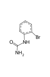 NC(=O)Nc1ccccc1Br